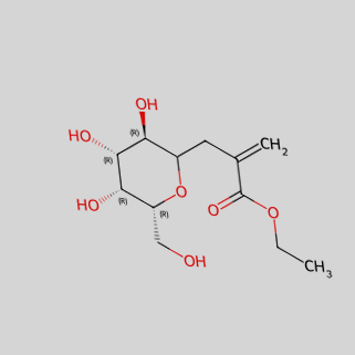 C=C(CC1O[C@H](CO)[C@H](O)[C@H](O)[C@H]1O)C(=O)OCC